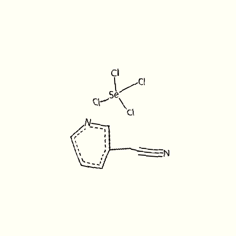 Cl[Se](Cl)(Cl)Cl.N#Cc1cccnc1